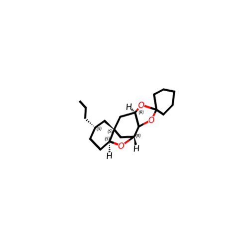 CCC[C@H]1CC[C@@H]2O[C@@H]3C[C@@]2(C1)C[C@H]1OC2(CCCCC2)OC31